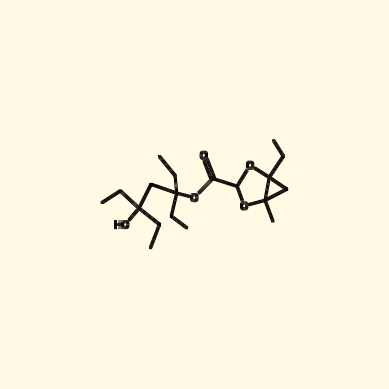 CCC(O)(CC)CC(CC)(CC)OC(=O)C1OC2(C)CC2(CC)O1